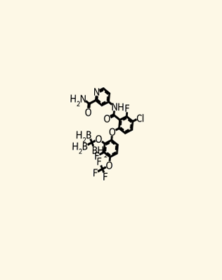 BC(B)(B)Oc1c(Oc2ccc(Cl)c(F)c2C(=O)Nc2ccnc(C(N)=O)c2)ccc(OC(F)(F)F)c1F